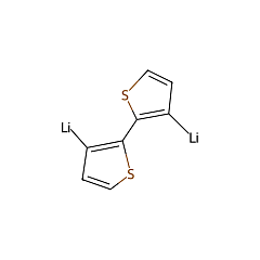 [Li][c]1ccsc1-c1scc[c]1[Li]